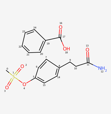 CS(=O)(=O)Oc1ccc(CCC(N)=O)cc1.O=C(O)c1ccccc1